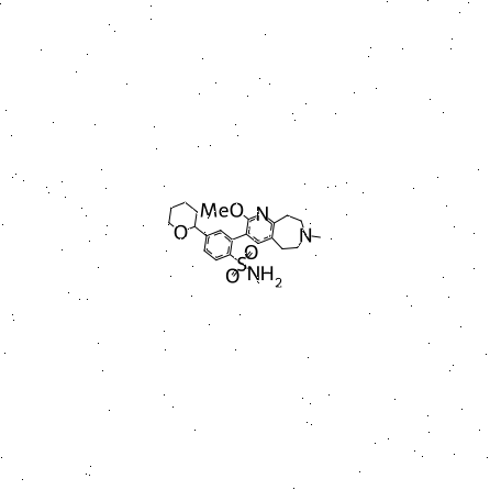 COc1nc2c(cc1-c1cc(C3CCCCO3)ccc1S(N)(=O)=O)CCN(C)CC2